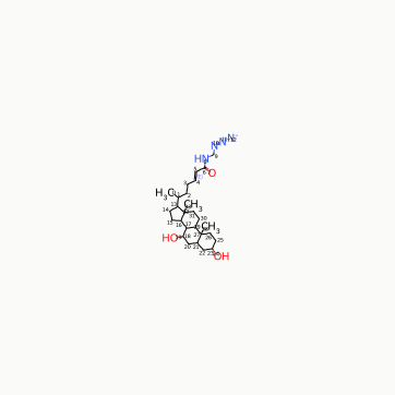 CC(CC/C=C/C(=O)NCN=[N+]=[N-])C1CCC2C3C(O)CC4CC(O)CCC4(C)C3CCC12C